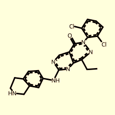 CCc1nn(-c2c(Cl)cccc2Cl)c(=O)c2cnc(Nc3ccc4c(c3)CNCC4)nc12